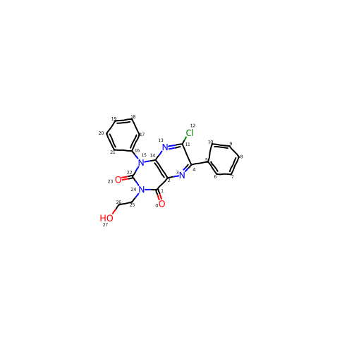 O=c1c2nc(-c3ccccc3)c(Cl)nc2n(-c2ccccc2)c(=O)n1CCO